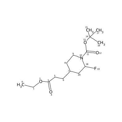 CCOC(=O)CCC1CCN(C(=O)OC(C)(C)C)C(F)C1